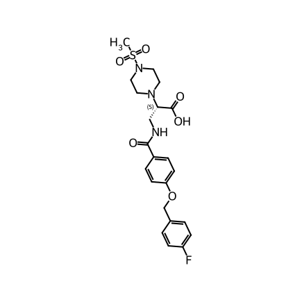 CS(=O)(=O)N1CCN([C@@H](CNC(=O)c2ccc(OCc3ccc(F)cc3)cc2)C(=O)O)CC1